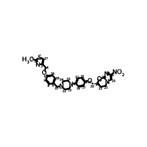 Cc1nc(COc2ccc(CN3CCN(c4ccc(OC[C@H]5CCn6cc([N+](=O)[O-])nc6O5)cc4)CC3)cc2)cs1